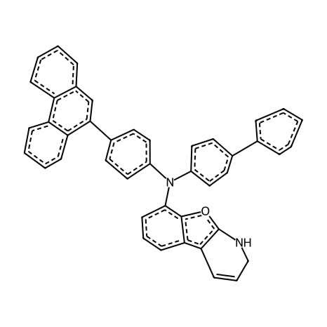 C1=Cc2c(oc3c(N(c4ccc(-c5ccccc5)cc4)c4ccc(-c5cc6ccccc6c6ccccc56)cc4)cccc23)NC1